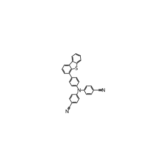 N#Cc1ccc(N(c2ccc(C#N)cc2)c2ccc(-c3cccc4c3sc3ccccc34)cc2)cc1